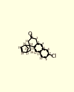 O=C1Cc2cc3cc(Cl)ccc3cc2C2(C1)CC1C=CC2C1